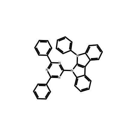 c1ccc(-c2nc(-c3ccccc3)nc(-n3c4ccccc4c4c5ccccc5n(-c5ccccc5)c43)n2)cc1